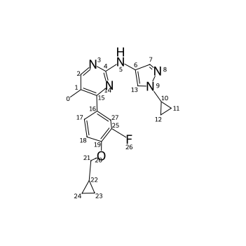 Cc1cnc(Nc2cnn(C3CC3)c2)nc1-c1ccc(OCC2CC2)c(F)c1